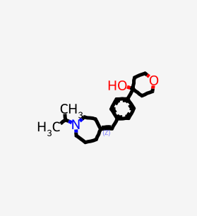 CC(C)N1CCC/C(=C/c2ccc(C3(O)CCOCC3)cc2)CC1